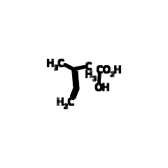 C=C=C(C)C.O=C(O)O